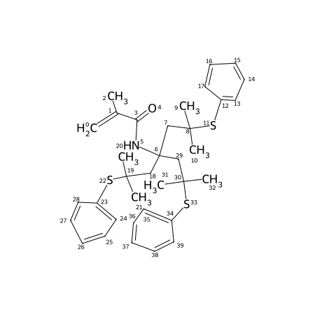 C=C(C)C(=O)NC(CC(C)(C)Sc1ccccc1)(CC(C)(C)Sc1ccccc1)CC(C)(C)Sc1ccccc1